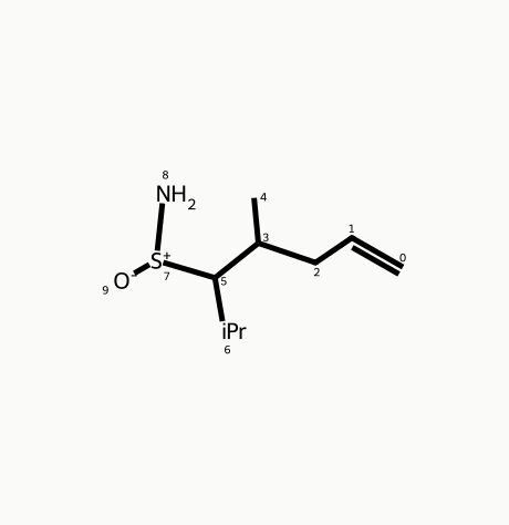 C=CCC(C)C(C(C)C)[S+](N)[O-]